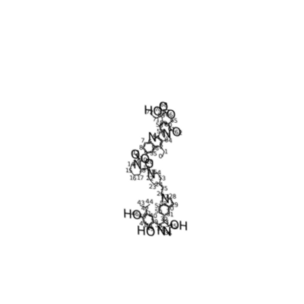 CCc1c2c(nc3ccc(OC(=O)N4CCCCC4C(=O)N4CCC(CCn5ccc6cc(C7C(O)=NN=C7c7cc(C(C)C)c(O)cc7O)ccc65)CC4)cc13)-c1cc3c(c(=O)n1C2)COC(=O)[C@]3(O)CC